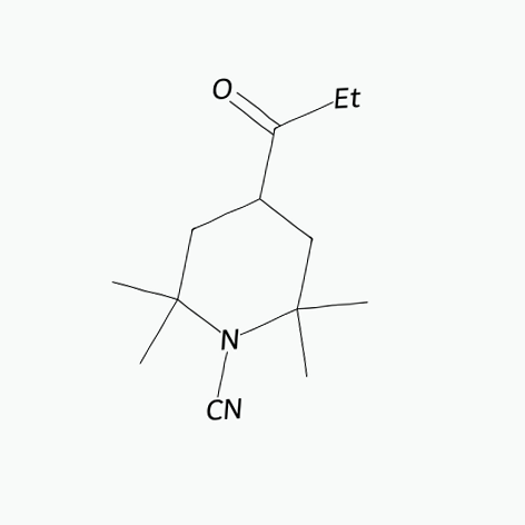 CCC(=O)C1CC(C)(C)N(C#N)C(C)(C)C1